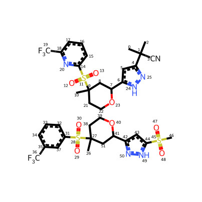 CC(C)(C#N)c1cc(C2CC(C)(S(=O)(=O)c3cccc(C(F)(F)F)n3)CCO2)[nH]n1.CC1(S(=O)(=O)c2cccc(C(F)(F)F)c2)CCOC(c2cc(S(C)(=O)=O)[nH]n2)C1